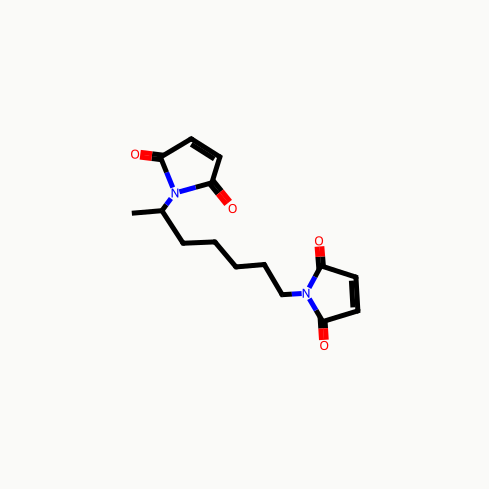 CC(CCCCCN1C(=O)C=CC1=O)N1C(=O)C=CC1=O